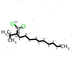 CCCCCCCCCCC(C(C)C)[SiH](Cl)Cl